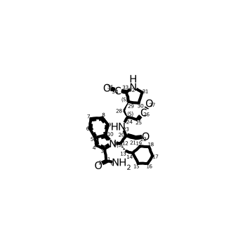 NC(=O)c1cc2ccccc2n1[C@@H](CC1CCCCC1)C(=C=O)N[C@H](C=C=O)C[C@@H]1CCNC1=C=O